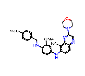 COc1ccc(CNc2ccc(Nc3ccc4ncc(N5CCOCC5)nc4c3C#N)cc2OC)cc1